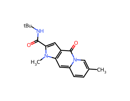 Cc1ccc2cc3c(cc(C(=O)NC(C)(C)C)n3C)c(=O)n2c1